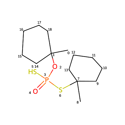 CC1(OP(=O)(S)SC2(C)CCCCC2)CCCCC1